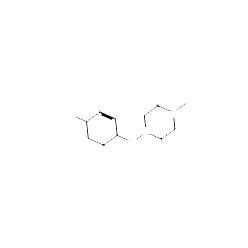 CN1CCN(SC2C=CC(O)CC2)CC1